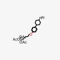 CCCC1CCC(c2ccc(OCCCC[Si](OC(C)=O)(OC(C)=O)OC(C)=O)cc2)CC1